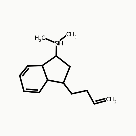 C=CCCC1CC([SiH](C)C)C2C=CC=CC12